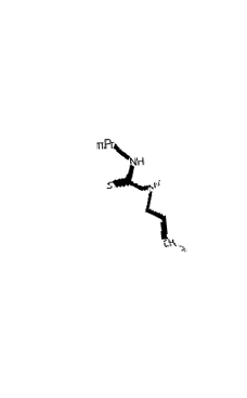 C=CCNC(=S)NCCC